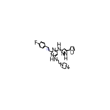 CN1CCN(CCNc2cc(Nc3cc(-c4ccco4)[nH]n3)nc(/C=C/c3ccc(F)cc3)n2)CC1